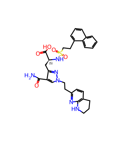 NC(=O)c1cn(CCc2ccc3c(n2)NCCC3)nc1C[C@H](NS(=O)(=O)CCc1cccc2ccccc12)C(=O)O